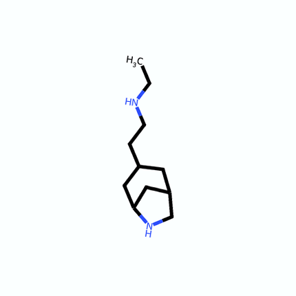 CCNCCC1CC2CNC(C1)C2